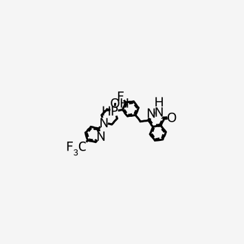 O=c1[nH]nc(Cc2ccc(F)c([PH]3(O)CCN(c4ccc(C(F)(F)F)cn4)CC3)c2)c2ccccc12